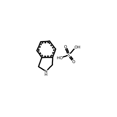 O=S(=O)(O)O.c1ccc2c(c1)CNC2